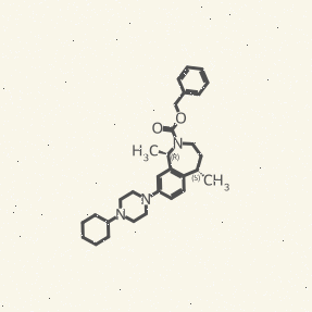 C[C@@H]1c2cc(N3CCN(C4CCCCC4)CC3)ccc2[C@@H](C)CCN1C(=O)OCc1ccccc1